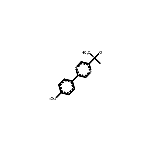 CCCCCCCCc1ccc(-c2cnc([C@@](C)(Cl)C(=O)O)cn2)cc1